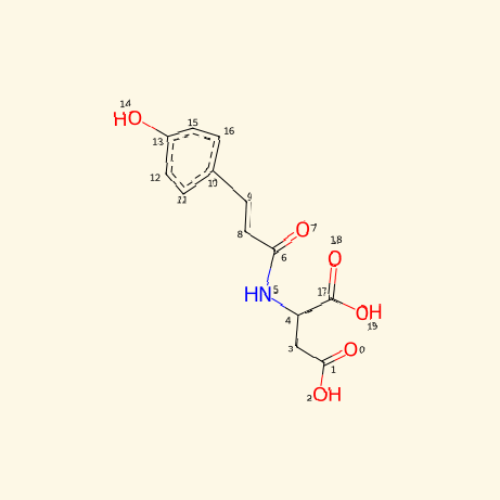 O=C(O)CC(NC(=O)C=Cc1ccc(O)cc1)C(=O)O